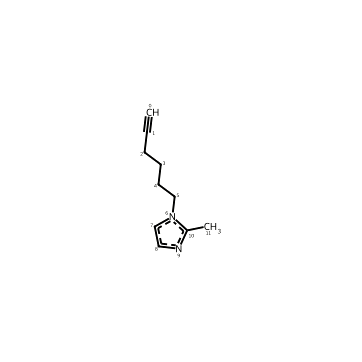 C#CCCCCn1ccnc1C